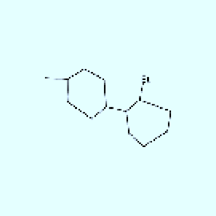 CCC1CCCCC1C1CCC(C)CC1